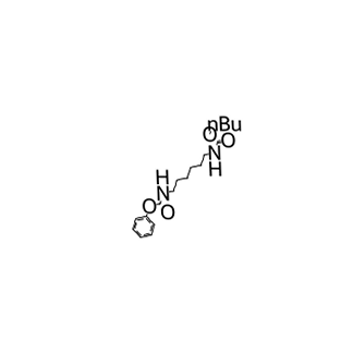 CCCCOC(=O)NCCCCCCNC(=O)Oc1ccccc1